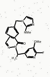 CNc1nccn1Cc1ccc2cnn(C(C)c3cnc(F)c(OC)c3)c(=O)c2c1